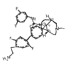 CN1C[C@@H]2CN(C(=O)Nc3cc(F)cc(F)c3)C[C@H](C1)[C@@]2(O)c1ccc(-c2cc(F)c(CCN)cc2F)cc1